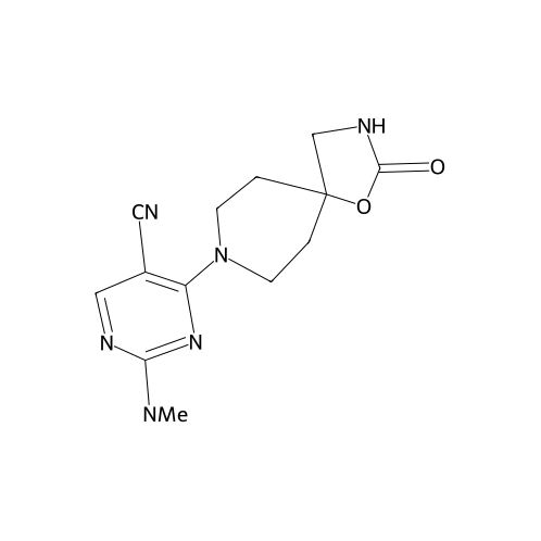 CNc1ncc(C#N)c(N2CCC3(CC2)CNC(=O)O3)n1